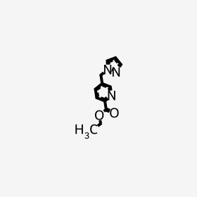 CCOC(=O)c1ccc(Cn2cccn2)cn1